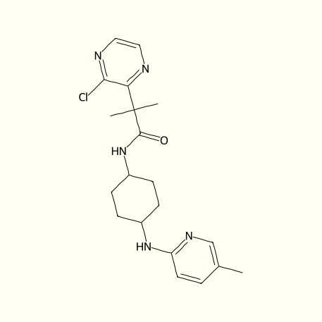 Cc1ccc(NC2CCC(NC(=O)C(C)(C)c3nccnc3Cl)CC2)nc1